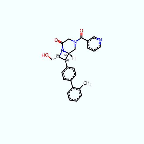 Cc1ccccc1-c1ccc([C@@H]2[C@H]3CN(C(=O)c4cccnc4)CC(=O)N3[C@H]2CO)cc1